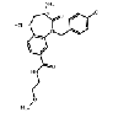 COCCNC(=O)c1ccc2c(c1)N(Cc1ccc(Cl)cc1)C(=O)[C@@H](N)CS2.Cl